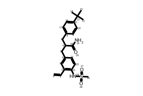 C=Cc1cc(CC(Cc2ccc(C(C)(C)C)cc2)C(N)=O)ccc1NS(C)(=O)=O